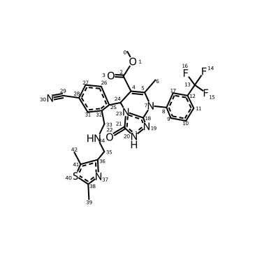 COC(=O)C1=C(C)N(c2cccc(C(F)(F)F)c2)c2n[nH]c(=O)n2C1c1ccc(C#N)cc1CNCc1nc(C)sc1C